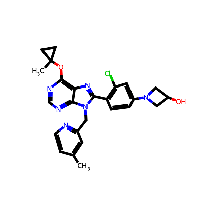 Cc1ccnc(Cn2c(-c3ccc(N4CC(O)C4)cc3Cl)nc3c(OC4(C)CC4)ncnc32)c1